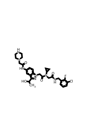 CC(O)c1nn(CC(=O)N(CC(=O)NCc2cccc(Cl)c2F)C2CC2)c2ccc(NC(=O)CN3CCNCC3)cc12